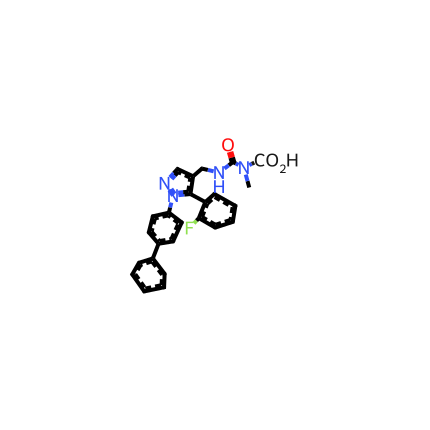 CN(C(=O)O)C(=O)NCc1cnn(-c2ccc(-c3ccccc3)cc2)c1-c1ccccc1F